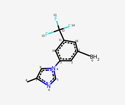 Bc1cc(-n2cnc(C)c2)cc(C(F)(F)F)c1